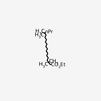 CCCC(C)(C)CCCCCCCCCCCCC(C)(C)CC(=O)OCC